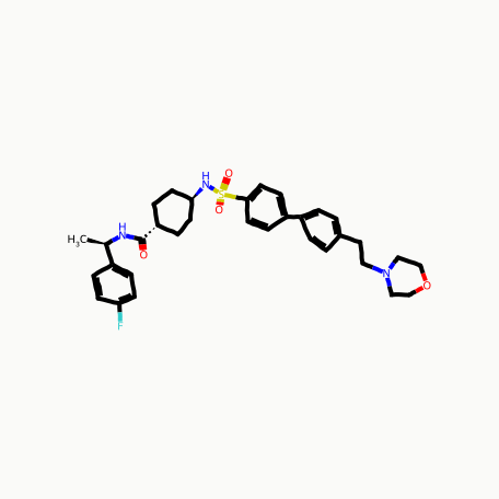 C[C@@H](NC(=O)[C@H]1CC[C@H](NS(=O)(=O)c2ccc(-c3ccc(CCN4CCOCC4)cc3)cc2)CC1)c1ccc(F)cc1